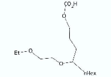 CCCCCCC(CCCOC(=O)O)OCCOCC